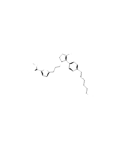 COC(=O)c1ccc(CCC[C@H]2CCC(Br)=C2c2ccc(CCCCCCO)cc2)s1